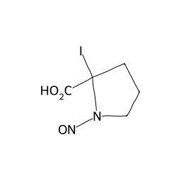 O=NN1CCCC1(I)C(=O)O